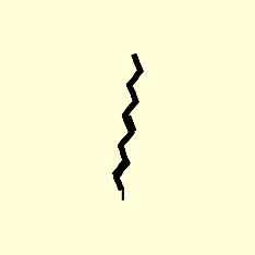 CCCCC=CCC=CI